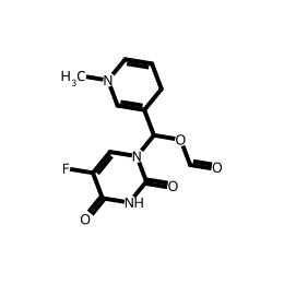 CN1C=CCC(C(OC=O)n2cc(F)c(=O)[nH]c2=O)=C1